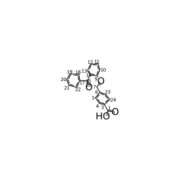 O=C(O)c1ccc(COc2ccccc2C(=O)c2ccccc2)cc1